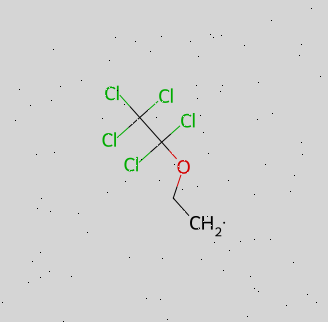 [CH2]COC(Cl)(Cl)C(Cl)(Cl)Cl